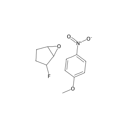 COc1ccc([N+](=O)[O-])cc1.FC1CCC2OC12